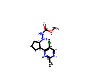 CC(C)(C)OC(=O)NNC1CCCC1c1nc(C#N)ncc1Br